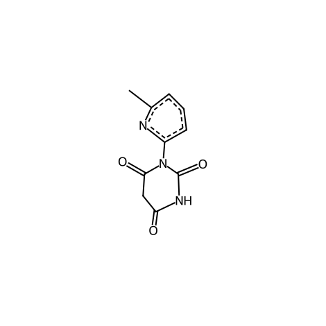 Cc1cccc(N2C(=O)CC(=O)NC2=O)n1